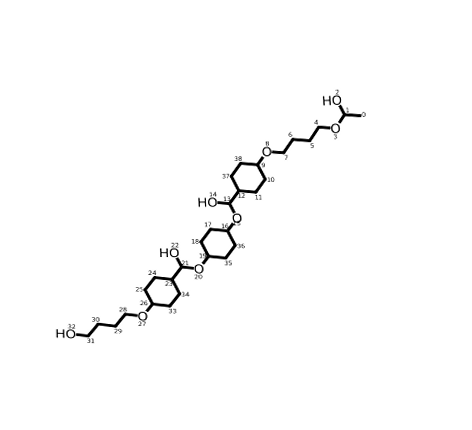 CC(O)OCCCCOC1CCC(C(O)OC2CCC(OC(O)C3CCC(OCCCCO)CC3)CC2)CC1